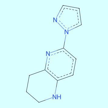 c1cnn(-c2ccc3c(n2)CCCN3)c1